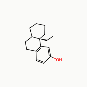 CC[C@]12CCCCC1CCc1ccc(O)cc12